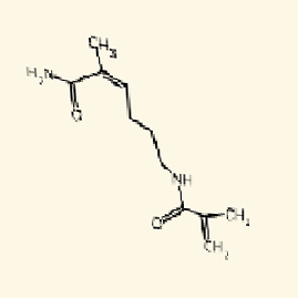 C=C(C)C(=O)NCCCC=C(C)C(N)=O